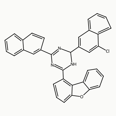 Clc1cc(C2N=C(c3ccc4ccccc4c3)N=C(c3cccc4oc5ccccc5c34)N2)cc2ccccc12